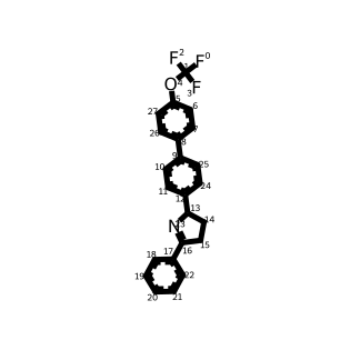 FC(F)(F)Oc1ccc(-c2ccc(C3CCC(c4ccccc4)=N3)cc2)cc1